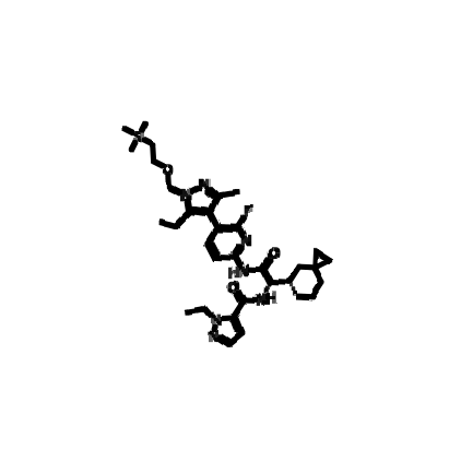 CCc1c(-c2ccc(NC(=O)[C@@H](NC(=O)c3ccnn3CC)[C@H]3CCCC4(CC4)C3)nc2F)c(C)nn1COCC[Si](C)(C)C